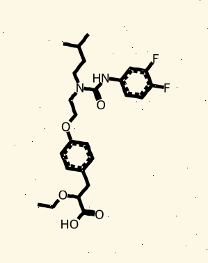 CCOC(Cc1ccc(OCCN(CCC(C)C)C(=O)Nc2ccc(F)c(F)c2)cc1)C(=O)O